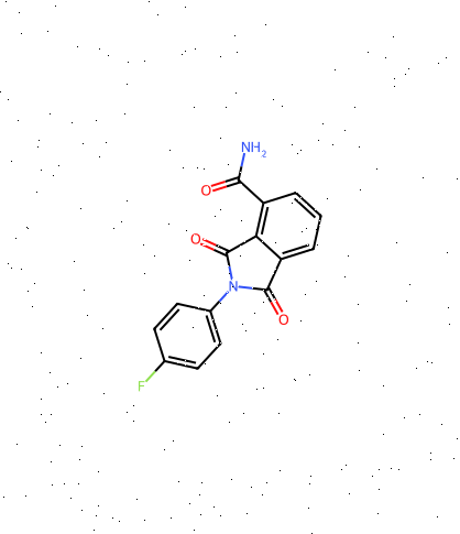 NC(=O)c1cccc2c1C(=O)N(c1ccc(F)cc1)C2=O